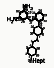 CCCCCCCC1CCC(CCC2CCC(c3ccccc3Cc3cc(N)cc(N)c3)CC2)CC1